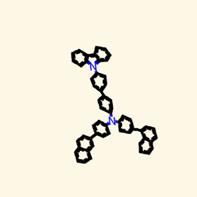 c1ccc2cc(-c3ccc(N(c4ccc(-c5ccc(-n6c7ccccc7c7ccccc76)cc5)cc4)c4ccc(-c5cccc6ccccc56)cc4)cc3)ccc2c1